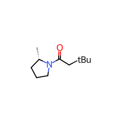 C[C@H]1CCCN1C(=O)CC(C)(C)C